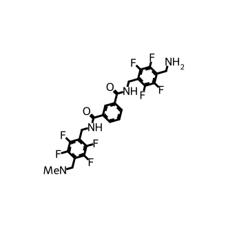 CNCc1c(F)c(F)c(CNC(=O)c2cccc(C(=O)NCc3c(F)c(F)c(CN)c(F)c3F)c2)c(F)c1F